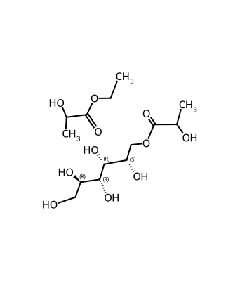 CC(O)C(=O)OC[C@H](O)[C@@H](O)[C@H](O)[C@H](O)CO.CCOC(=O)C(C)O